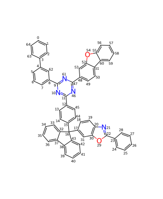 c1ccc(-c2cccc(-c3nc(-c4ccc(C5(c6ccc7nc(-c8ccccc8)oc7c6)c6ccccc6-c6ccccc65)cc4)nc(-c4ccc5c(c4)oc4ccccc45)n3)c2)cc1